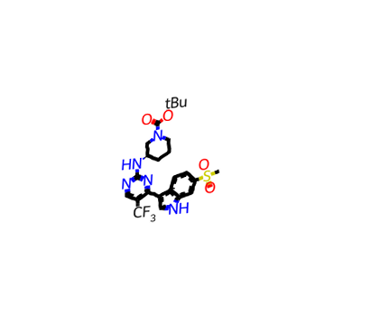 CC(C)(C)OC(=O)N1CCC[C@H](Nc2ncc(C(F)(F)F)c(-c3c[nH]c4cc(S(C)(=O)=O)ccc34)n2)C1